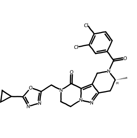 C[C@@H]1Cc2nn3c(c2CN1C(=O)c1ccc(Cl)c(Cl)c1)C(=O)N(Cc1nnc(C2CC2)o1)CC3